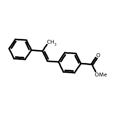 COC(=O)c1ccc(/C=C(\C)c2ccccc2)cc1